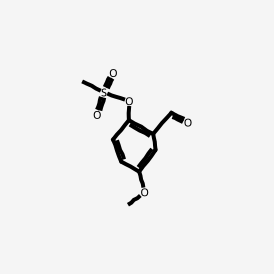 COc1ccc(OS(C)(=O)=O)c(C=O)c1